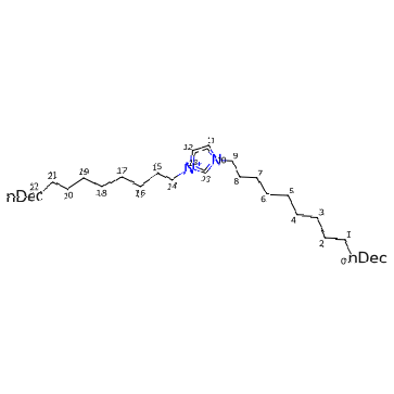 CCCCCCCCCCCCCCCCCCCn1cc[n+](CCCCCCCCCCCCCCCCCC)c1